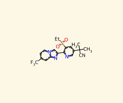 CCS(=O)(=O)c1cc(C(C)(C)C#N)cnc1-c1cn2ccc(C(F)(F)F)cc2n1